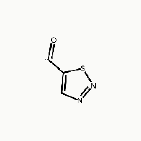 O=[C]c1cnns1